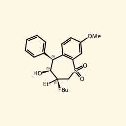 CCCC[C@]1(CC)CS(=O)(=O)c2cc(OC)ccc2[C@H](c2ccccc2)[C@@H]1O